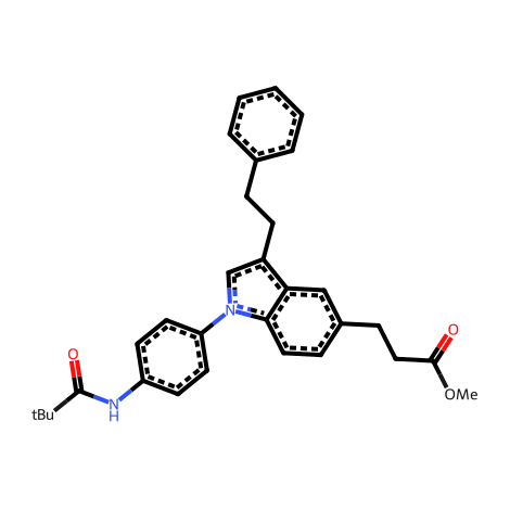 COC(=O)CCc1ccc2c(c1)c(CCc1ccccc1)cn2-c1ccc(NC(=O)C(C)(C)C)cc1